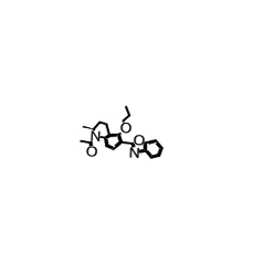 CCCOc1c(-c2nc3ccccc3o2)ccc2c1CC[C@H](C)N2C(C)=O